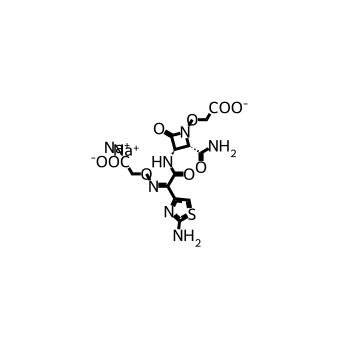 NC(=O)[C@@H]1[C@H](NC(=O)/C(=N\OCC(=O)[O-])c2csc(N)n2)C(=O)N1OCC(=O)[O-].[Na+].[Na+]